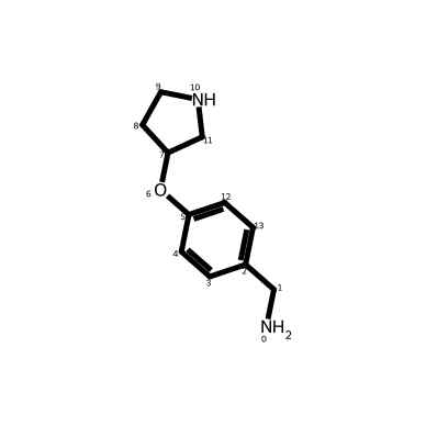 NCc1ccc(OC2CCNC2)cc1